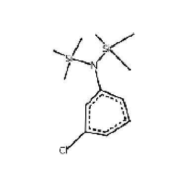 C[Si](C)(C)N(c1cccc(Cl)c1)[Si](C)(C)C